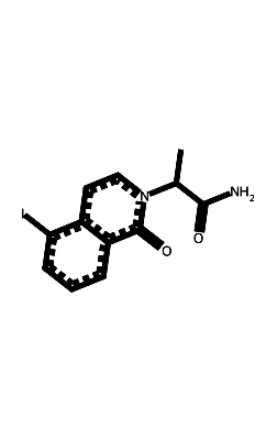 CC(C(N)=O)n1ccc2c(I)cccc2c1=O